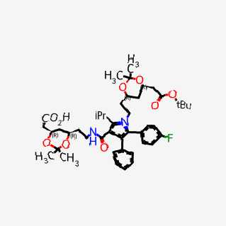 CC(C)c1c(C(=O)NCC[C@@H]2C[C@H](CC(=O)O)OC(C)(C)O2)c(-c2ccccc2)c(-c2ccc(F)cc2)n1CC[C@@H]1C[C@H](CC(=O)OC(C)(C)C)OC(C)(C)O1